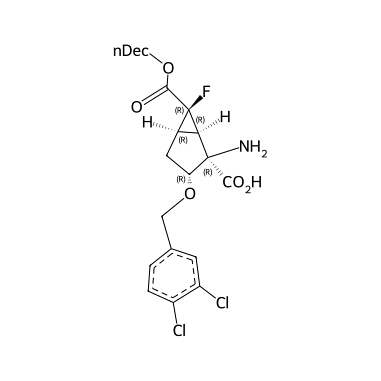 CCCCCCCCCCOC(=O)[C@@]1(F)[C@@H]2C[C@@H](OCc3ccc(Cl)c(Cl)c3)[C@@](N)(C(=O)O)[C@@H]21